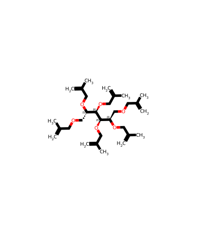 C=C(C)COC[C@H](OCC(=C)C)[C@@H](OCC(=C)C)[C@H](OCC(=C)C)[C@@H](COCC(=C)C)OCC(=C)C